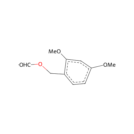 COc1ccc(CO[C]=O)c(OC)c1